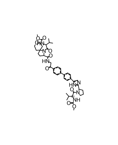 COC(=O)NC(C(=O)N1C(C(=O)NCC(=O)c2ccc(-c3ccc(-c4cnc(C5CCCN5C(=O)[C@@H](NC(=O)OC)C(C)C)[nH]4)cc3)cc2)CCC12CCOCC2)C(C)C